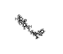 O=C1CCC(N2C(=O)c3cc(F)c(NCCC[C@H]4C[C@H](n5cc(-c6cnc7ccccc7n6)c(C6CC6)n5)C4)cc3C2=O)C(=O)N1